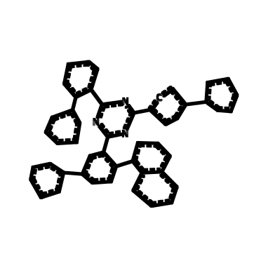 c1ccc(-c2ccc(-c3nc(-c4ccccc4-c4ccccc4)nc(-c4cc(-c5ccccc5)ccc4-c4cccc5ccccc45)n3)cc2)cc1